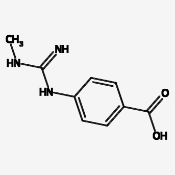 CNC(=N)Nc1ccc(C(=O)O)cc1